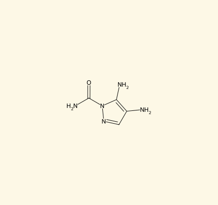 NC(=O)n1ncc(N)c1N